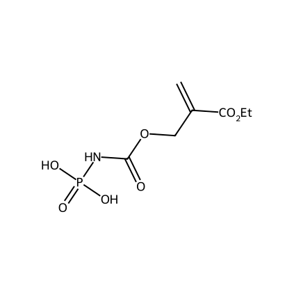 C=C(COC(=O)NP(=O)(O)O)C(=O)OCC